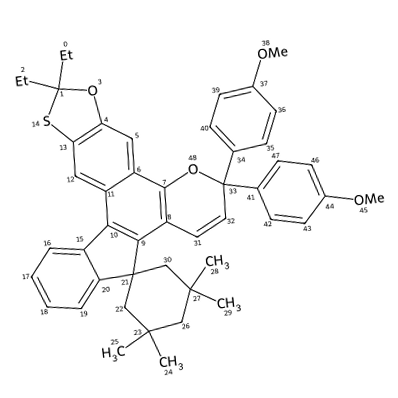 CCC1(CC)Oc2cc3c4c(c5c(c3cc2S1)-c1ccccc1C51CC(C)(C)CC(C)(C)C1)C=CC(c1ccc(OC)cc1)(c1ccc(OC)cc1)O4